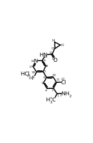 CC(N)c1ccc(-c2cc(NC(=O)C3CC3)ncc2F)cc1Cl.Cl